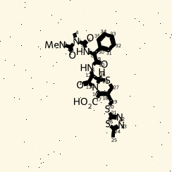 CNC(=O)N(C)C(=O)NC(C(=O)NC1C(=O)N2C(C(=O)O)=C(CSc3nnc(C)s3)CS[C@@H]12)c1ccccc1